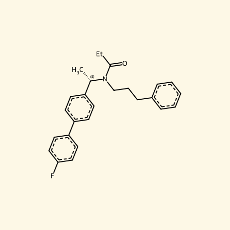 CCC(=O)N(CCCc1ccccc1)[C@@H](C)c1ccc(-c2ccc(F)cc2)cc1